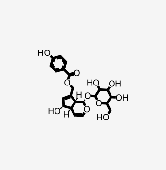 O=C(OCC1=C[C@@H](O)[C@@H]2C=CO[C@@H](OC3OC(CO)C(O)C(O)C3O)[C@H]12)c1ccc(O)cc1